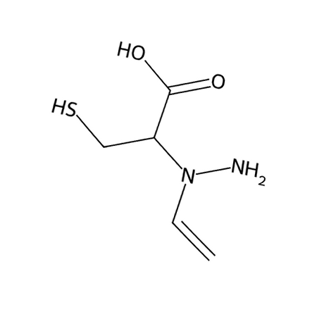 C=CN(N)C(CS)C(=O)O